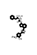 CC(C)Oc1ccc(-c2nc(-c3cccc4c3CC=C4OC(=O)NC(Cc3ccccc3)C(=O)O)no2)cc1C#N